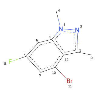 Cc1nn(C)c2cc(F)cc(Br)c12